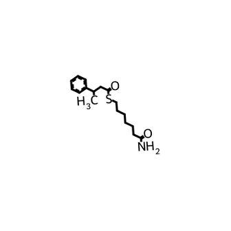 CC(CC(=O)SCCCCCCC(N)=O)c1ccccc1